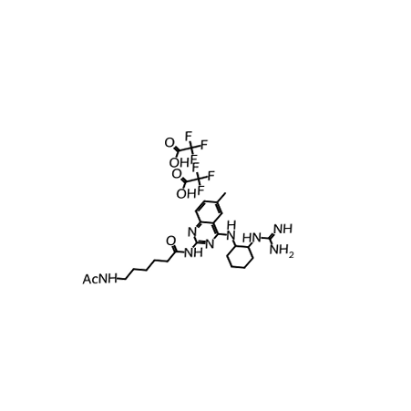 CC(=O)NCCCCCC(=O)Nc1nc(NC2CCCCC2NC(=N)N)c2cc(C)ccc2n1.O=C(O)C(F)(F)F.O=C(O)C(F)(F)F